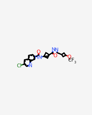 O=C(NC12CC(c3nnc(C4CC(OC(F)(F)F)C4)o3)(C1)C2)c1ccc2cc(Cl)cnc2c1